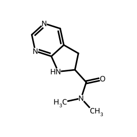 CN(C)C(=O)C1Cc2cncnc2N1